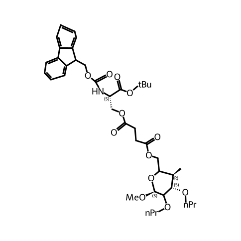 CCCOC1[C@@H](OC)OC(COC(=O)CCC(=O)OC[C@H](NC(=O)OCC2c3ccccc3-c3ccccc32)C(=O)OC(C)(C)C)[C@@H](C)[C@@H]1OCCC